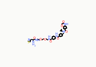 N[C@@H](Cc1cscn1)C(=O)NCCOCCOCCNC(=O)c1ccc(NC(=O)c2ccc(CN(C(=O)c3ccc4c(c3)OCC(=O)N4)C3CC3)cc2)cc1